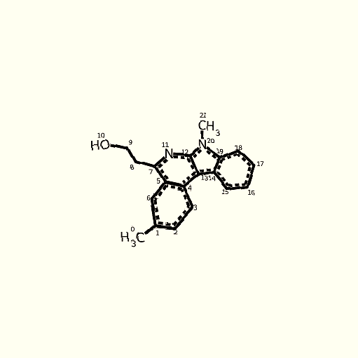 Cc1ccc2c(c1)c(CCO)nc1c2c2ccccc2n1C